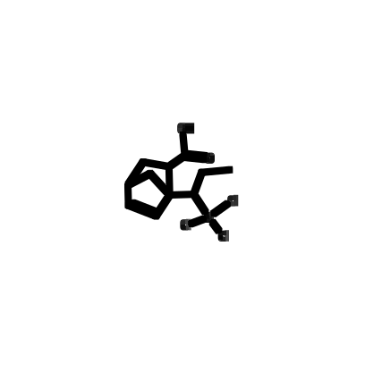 CCC(C12C=CC(CC1C(=O)O)C2)[Si](Cl)(Cl)Cl